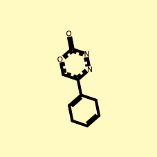 O=c1nnc(C2=CCC=CC2)co1